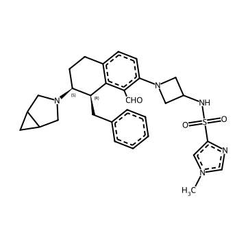 Cn1cnc(S(=O)(=O)NC2CN(c3ccc4c(c3C=O)[C@@H](Cc3ccccc3)[C@@H](N3CC5CC5C3)CC4)C2)c1